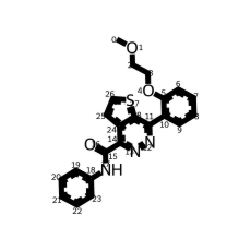 COCCOc1ccccc1-c1nnc(C(=O)Nc2ccccc2)c2ccsc12